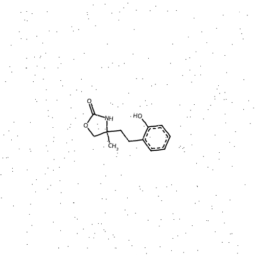 CC1(CCc2ccccc2O)COC(=O)N1